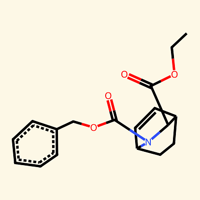 CCOC(=O)C1C2C=CC(CC2)N1C(=O)OCc1ccccc1